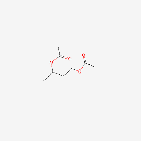 [CH2]C(CCOC(C)=O)OC(C)=O